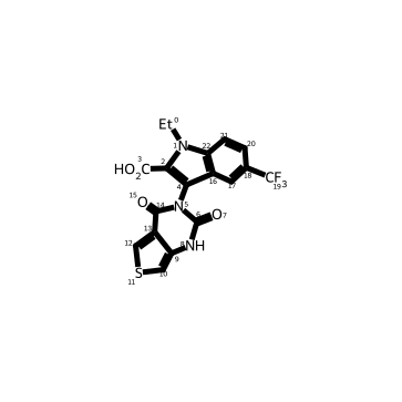 CCn1c(C(=O)O)c(-n2c(=O)[nH]c3cscc3c2=O)c2cc(C(F)(F)F)ccc21